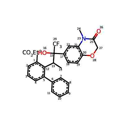 CCOC(=O)c1cccc(-c2ccccc2)c1C(C)C(O)(c1ccc2c(c1)N(C)C(=O)CO2)C(F)(F)F